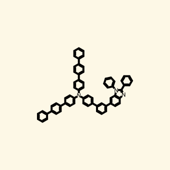 c1ccc(-c2ccc(-c3ccc(N(c4ccc(-c5ccc(-c6ccccc6)cc5)cc4)c4ccc(-c5cccc(-c6ccc7nc(-c8ccccc8)n(-c8ccccc8)c7c6)c5)cc4)cc3)cc2)cc1